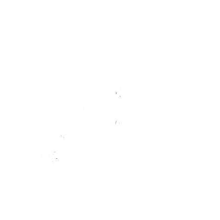 O=C(O)N1CCC(CNCc2ccccc2)[C@H](O)C1